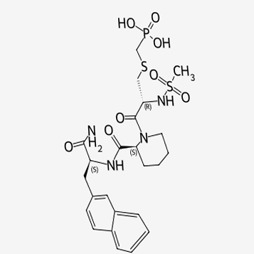 CS(=O)(=O)N[C@@H](CSCP(=O)(O)O)C(=O)N1CCCC[C@H]1C(=O)N[C@@H](Cc1ccc2ccccc2c1)C(N)=O